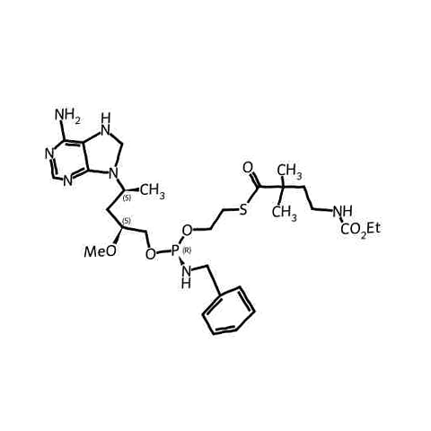 CCOC(=O)NCCC(C)(C)C(=O)SCCO[P@@](NCc1ccccc1)OC[C@H](C[C@H](C)N1CNc2c(N)ncnc21)OC